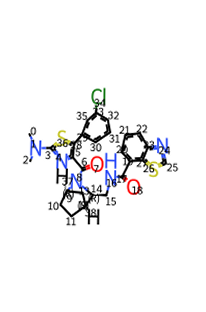 CN(C)c1nc(C(=O)N2[C@@H]3CC[C@@H](C3)[C@@H]2CNC(=O)c2cccc3ncsc23)c(-c2cccc(Cl)c2)s1